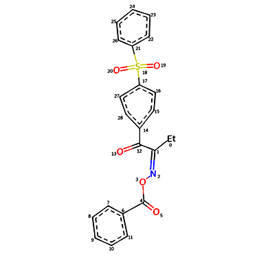 CCC(=NOC(=O)c1ccccc1)C(=O)c1ccc(S(=O)(=O)c2ccccc2)cc1